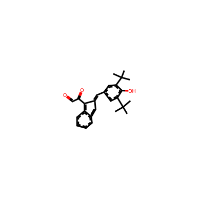 CC(C)(C)c1cc(C=C2C=c3ccccc3=C2C(=O)C=O)cc(C(C)(C)C)c1O